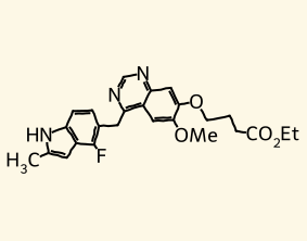 CCOC(=O)CCCOc1cc2ncnc(Cc3ccc4[nH]c(C)cc4c3F)c2cc1OC